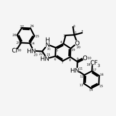 CC1(C)Cc2c3c(cc(C(=O)Nc4ccccc4C(F)(F)F)c2O1)NC(Nc1ccccc1Cl)N3